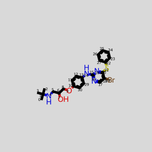 CC(C)(C)NCC(O)COc1ccc(Nc2ncc(Br)c(Sc3ccccc3)n2)cc1